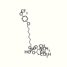 C[N+](C)(C)C([O-])[C@@H](CC(=O)O)OP(=O)(O)OCCCCCCCCOc1ccc(OC(F)(F)F)cc1